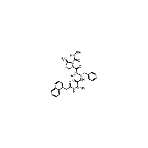 C=C1SCN(C(=O)[C@@H](O)[C@H](Cc2ccccc2)NC(=O)[C@@H](NC(=O)Cc2cccc3ccccc23)C(C)C)[C@@H]1C(=O)NC(C)(C)C